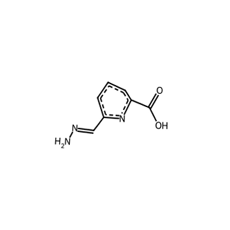 NN=Cc1cccc(C(=O)O)n1